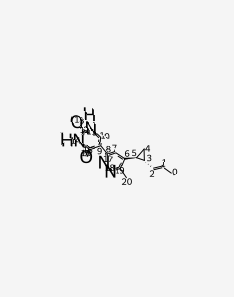 C/C=C/[C@H]1C[C@@H]1c1cc(-c2c[nH]c(=O)[nH]c2=O)nnc1C